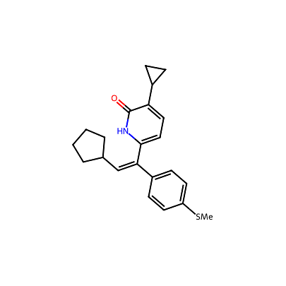 CSc1ccc(/C(=C/C2CCCC2)c2ccc(C3CC3)c(=O)[nH]2)cc1